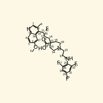 COc1ccc2ncc(C)c([C@H](F)CCC3(C(=O)O)CCN(CCNc4c(F)cc(F)cc4F)CC3)c2c1